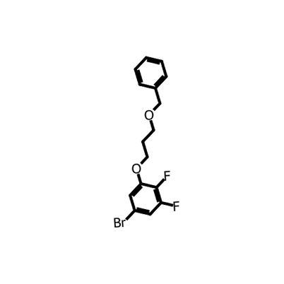 Fc1cc(Br)cc(OCCCOCc2ccccc2)c1F